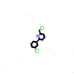 ClCc1cccc(-c2cccc(Cl)c2)n1